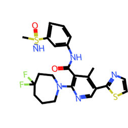 Cc1c(-c2nccs2)cnc(N2CCCC(F)(F)CC2)c1C(=O)Nc1cccc(S(C)(=N)=O)c1